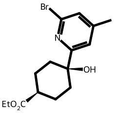 CCOC(=O)[C@H]1CC[C@](O)(c2cc(C)cc(Br)n2)CC1